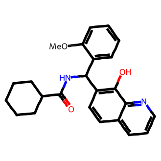 COc1ccccc1C(NC(=O)C1CCCCC1)c1ccc2cccnc2c1O